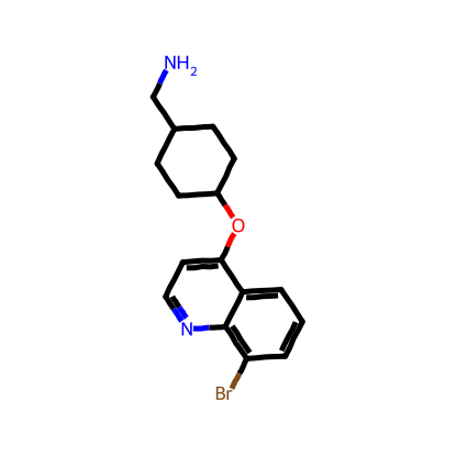 NCC1CCC(Oc2ccnc3c(Br)cccc23)CC1